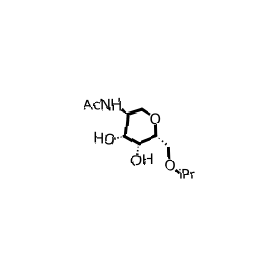 CC(=O)N[C@H]1CO[C@H](COC(C)C)[C@H](O)[C@@H]1O